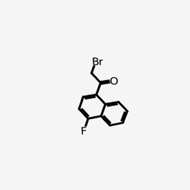 O=C(CBr)c1ccc(F)c2ccccc12